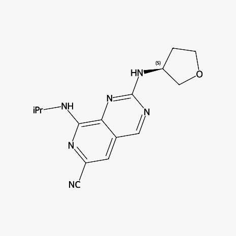 CC(C)Nc1nc(C#N)cc2cnc(N[C@H]3CCOC3)nc12